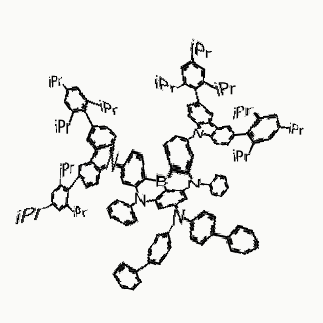 CC(C)c1cc(C(C)C)c(-c2ccc3c(c2)c2cc(-c4c(C(C)C)cc(C(C)C)cc4C(C)C)ccc2n3-c2ccc3c(c2)N(c2ccccc2)c2cc(N(c4ccc(-c5ccccc5)cc4)c4ccc(-c5ccccc5)cc4)cc4c2B3c2ccc(-n3c5ccc(-c6c(C(C)C)cc(C(C)C)cc6C(C)C)cc5c5cc(-c6c(C(C)C)cc(C(C)C)cc6C(C)C)ccc53)cc2N4c2ccccc2)c(C(C)C)c1